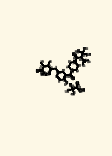 Cc1c(Cc2ccc(F)c(C(=O)N3CCN(C(=O)C(N(C)C)C(F)(F)F)CC3)c2)n[nH]c(=O)c1C.O=C(O)C(F)(F)F